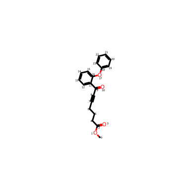 COC(=O)CCCC#CC(=O)c1ccccc1Oc1ccccc1